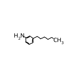 CCCCCCc1cccc(N)c1